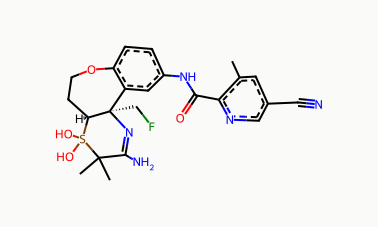 Cc1cc(C#N)cnc1C(=O)Nc1ccc2c(c1)[C@@]1(CF)N=C(N)C(C)(C)S(O)(O)[C@H]1CCO2